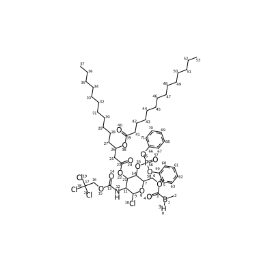 [3H]B(C)C(=O)OCC1OC(Cl)C(NC(=O)OCC(Cl)(Cl)Cl)C(OC(=O)CC(CCCCCCCCCCC)OC(=O)CCCCCCCCCCCCC)C1OP(=O)(Oc1ccccc1)Oc1ccccc1